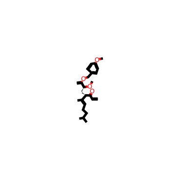 C=CC(=O)[C@@H](C[C@@H](OC)C(=C)OCc1ccc(OC)cc1)/C(C)=C/CCC(C)C